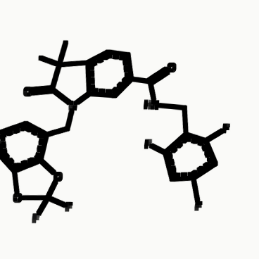 CC1(C)C(=O)N(Cc2cccc3c2OC(F)(F)O3)c2cc(C(=O)NCc3c(F)cc(F)cc3F)ccc21